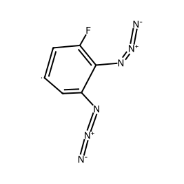 [N-]=[N+]=Nc1c[c]cc(F)c1N=[N+]=[N-]